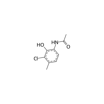 CC(=O)Nc1ccc(C)c(Cl)c1O